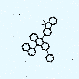 CC1(C)c2ccccc2-c2ccc(-c3c4ccccc4c(-c4cccc5ccccc45)c4cc(-c5ccccc5)ccc34)cc21